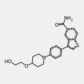 NC(=O)c1ccc2scc(-c3ccc(N4CCC(OCCO)CC4)cc3)c2c1